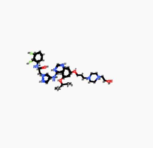 CC(C)Oc1cc(OCCCN2CCN(CCO)CC2)cc2ncnc(Nc3cnn(CC(=O)Nc4cccc(F)c4F)c3)c12